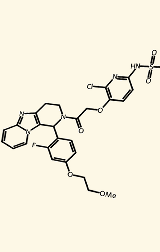 COCCOc1ccc(C2c3c(nc4ccccn34)CCN2C(=O)COc2ccc(NS(C)(=O)=O)nc2Cl)c(F)c1